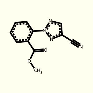 COC(=O)c1ccccc1-n1ncc(C#N)n1